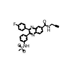 C#CCNC(=O)c1ccc2nc(-c3cccc(NS(C)(=O)=O)c3)c(-c3ccc(F)cc3)nc2c1